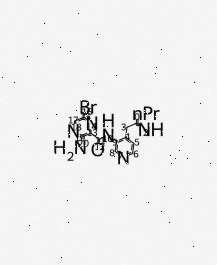 CCCC(=N)Cc1ccncc1NC(=O)c1nc(Br)cnc1N